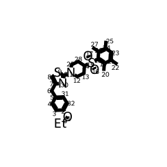 CCOc1ccc(Cc2csc(N3CCC(S(=O)(=O)c4c(C)c(C)cc(C)c4C)CC3)n2)cc1